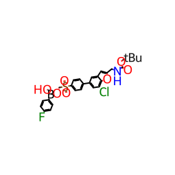 CC(C)(C)OC(=O)NCc1cc2cc(-c3ccc(S(=O)(=O)COB(O)c4ccc(F)cc4)cc3)cc(Cl)c2o1